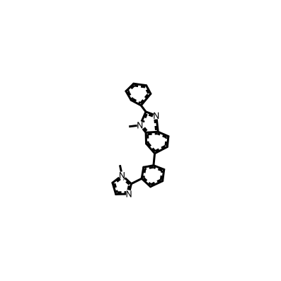 Cn1ccnc1-c1cccc(-c2ccc3nc(-c4ccccc4)n(C)c3c2)c1